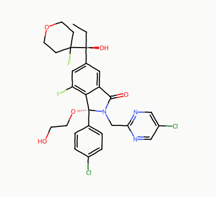 CC[C@](O)(c1cc(F)c2c(c1)C(=O)N(Cc1ncc(Cl)cn1)[C@@]2(OCCO)c1ccc(Cl)cc1)C1(F)CCOCC1